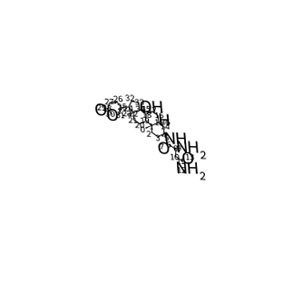 C[C@]12CC[C@H](NC(=O)[C@H](N)CC(N)=O)C[C@H]1CCC1C2CC[C@]2(C)[C@@H](c3ccc(=O)oc3)CC[C@]12O